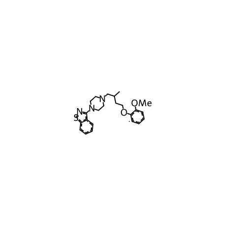 COc1ccc[c]c1OCCC(C)CN1CCN(c2nsc3ccccc23)CC1